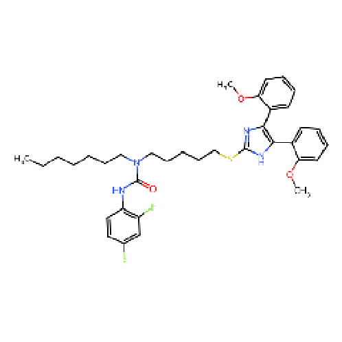 CCCCCCCN(CCCCCSc1nc(-c2ccccc2OC)c(-c2ccccc2OC)[nH]1)C(=O)Nc1ccc(F)cc1F